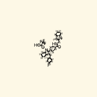 Cn1c(CNC(=O)C2CCN(c3nc4ccccc4n3Cc3ccc(F)cc3)CC2)nc2ccccc21.O=C(O)C(F)(F)F